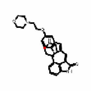 O=C1Nc2cccc(C3CCNCC3)c2/C1=C\c1cc2cc(OCCN3CCOCC3)ccc2[nH]1